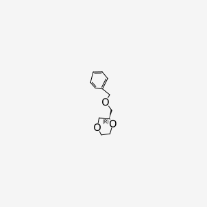 c1ccc(COC[C@@H]2COCCO2)cc1